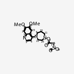 COc1cc2nccc(N3CCCN(OC(=O)N=S(=O)=O)CC3)c2cc1OC